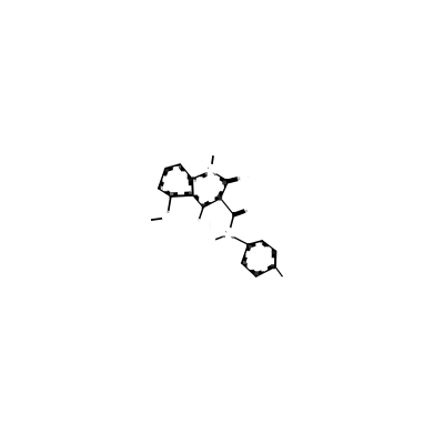 CSc1cccc2c1c(O)c(C(=O)N(C)c1ccc(Cl)cc1)c(=O)n2C